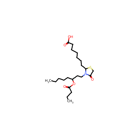 CCCCCC(CCN1C(=O)CSC1CCCCCCC(=O)O)OC(=O)CCC